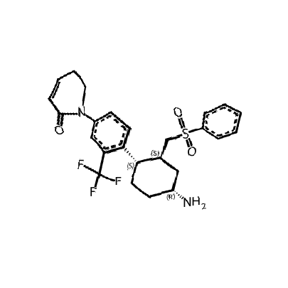 N[C@@H]1CC[C@H](c2ccc(N3CCC=CC3=O)cc2C(F)(F)F)[C@@H](CS(=O)(=O)c2ccccc2)C1